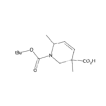 CC1C=CC(C)(C(=O)O)CN1C(=O)OC(C)(C)C